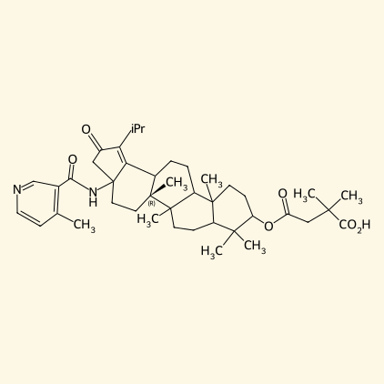 Cc1ccncc1C(=O)NC12CC[C@]3(C)C(CCC4C5(C)CCC(OC(=O)CC(C)(C)C(=O)O)C(C)(C)C5CCC43C)C1=C(C(C)C)C(=O)C2